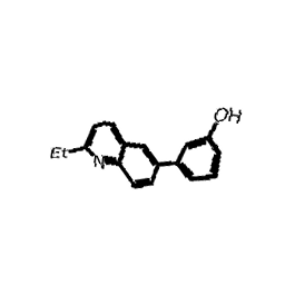 CCc1ccc2cc(-c3cccc(O)c3)ccc2n1